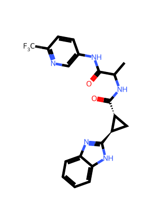 CC(NC(=O)[C@@H]1C[C@H]1c1nc2ccccc2[nH]1)C(=O)Nc1ccc(C(F)(F)F)nc1